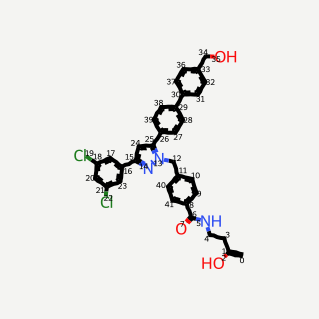 C=C(O)CCNC(=O)c1ccc(Cn2nc(-c3cc(Cl)cc(Cl)c3)cc2-c2ccc(-c3ccc(CO)cc3)cc2)cc1